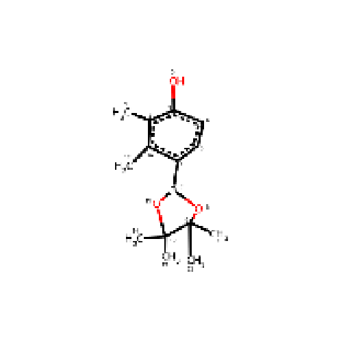 Cc1c(O)ccc(B2OC(C)(C)C(C)(C)O2)c1C